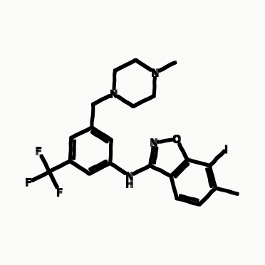 Cc1ccc2c(Nc3cc(CN4CCN(C)CC4)cc(C(F)(F)F)c3)noc2c1I